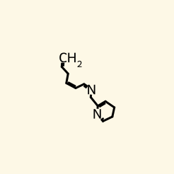 C=CC/C=C\C=N/CC1=CCCC=N1